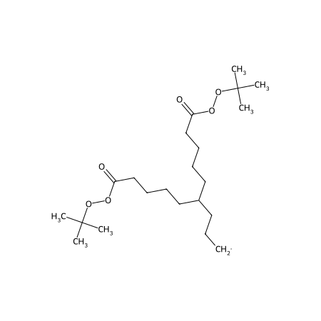 [CH2]CCC(CCCCC(=O)OOC(C)(C)C)CCCCC(=O)OOC(C)(C)C